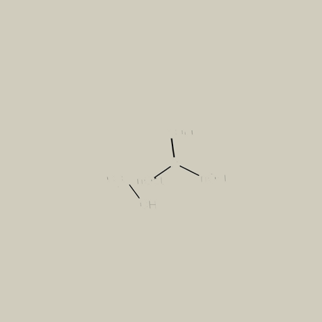 CCCCCCCCP(CCCCCCCC)CCCCCCCC.O=C(O)O